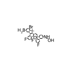 Bc1cc(Br)c2c(c1)-c1c(c3c(c4c(F)cc(F)cc14)OC(c1ccc(F)cc1)(c1ccc(NCCO)cc1)C=C3)C2(C)C